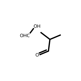 CC(C)C=O.O=CO